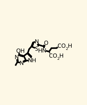 Cc1nc(O)c2c(Cc3cnc(C(=O)N[C@@H](CCC(=O)O)C(=O)O)s3)c[nH]c2n1